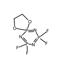 FP1(F)=NP(F)(F)=NP2(=N1)OCCO2